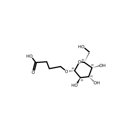 O=C(O)CCCO[C@@H]1O[C@H](CO)[C@H](O)[C@H](O)[C@H]1O